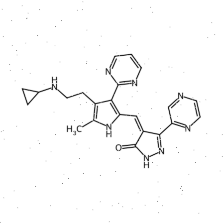 Cc1[nH]c(C=C2C(=O)NN=C2c2cnccn2)c(-c2ncccn2)c1CCNC1CC1